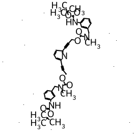 CN(Cc1cccc(NC(=O)OC(C)(C)C)c1)C(=O)OCC#Cc1cccc(C#CCOC(=O)N(C)Cc2cccc(NC(=O)OC(C)(C)C)c2)n1